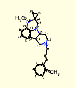 Cc1ccccc1CCCN1CCC2C(C1)c1cccc3c1N2CC1(CC1)N3C